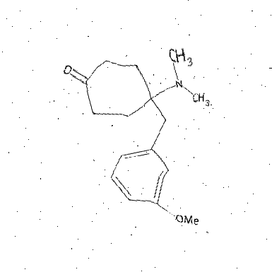 COc1cccc(CC2(N(C)C)CCC(=O)CC2)c1